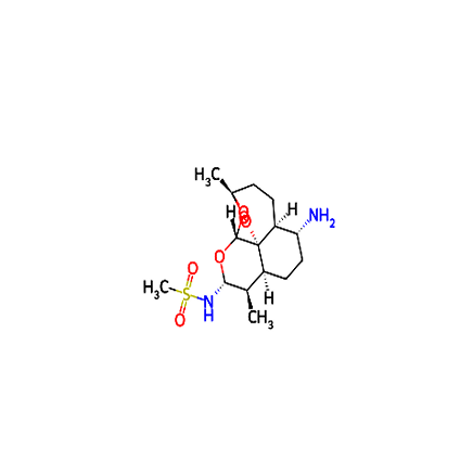 C[C@H]1[C@H](NS(C)(=O)=O)O[C@@H]2O[C@@]3(C)CC[C@H]4[C@H](N)CC[C@@H]1[C@@]24OO3